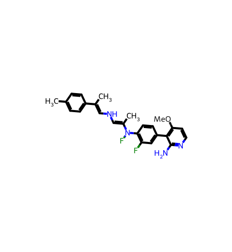 COc1ccnc(N)c1-c1ccc(N(F)/C(C)=C/N/C=C(\C)c2ccc(C)cc2)c(F)c1